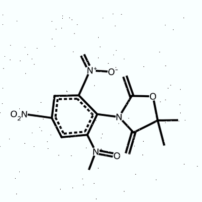 C=C1OC(C)(C)C(=C)N1c1c([N+](=C)[O-])cc([N+](=O)[O-])cc1[N+](C)=O